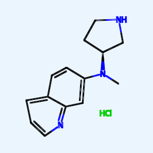 CN(c1ccc2cccnc2c1)[C@H]1CCNC1.Cl